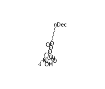 CCCCCCCCCCCCCCCCCCOC(=O)OCOC1=C2O[C@H]3C(=O)CC[C@@]4(O)C5CC(C=C1)C2[C@@]34CCN5CC1CC1